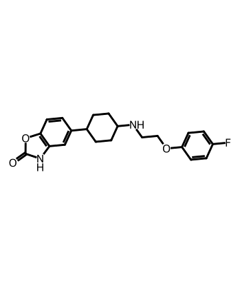 O=c1[nH]c2cc(C3CCC(NCCOc4ccc(F)cc4)CC3)ccc2o1